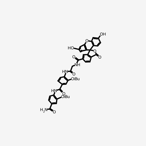 CC(C)COc1cc(C(=O)Nc2ccc(C(N)=O)cc2OCC(C)C)ccc1NC(=O)CNC(=O)c1ccc2c(c1)C1(OC2=O)c2ccc(O)cc2Oc2cc(O)ccc21